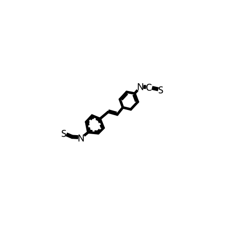 S=C=NC1=CCC(C=Cc2ccc(N=C=S)cc2)C=C1